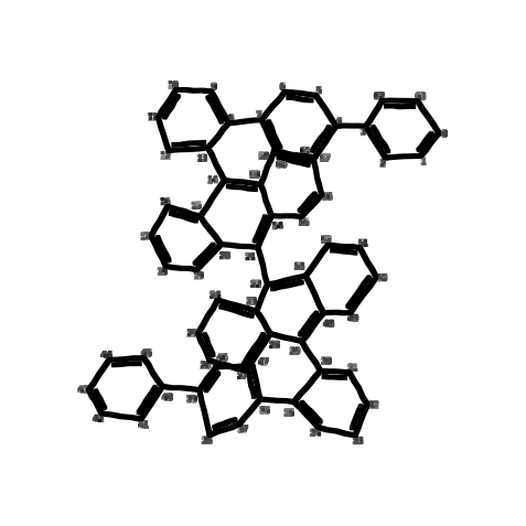 c1ccc(-c2ccc(-c3ccccc3-c3c4ccccc4c(-c4c5ccccc5c(-c5ccccc5-c5ccc(-c6ccccc6)cc5)c5ccccc45)c4ccccc34)cc2)cc1